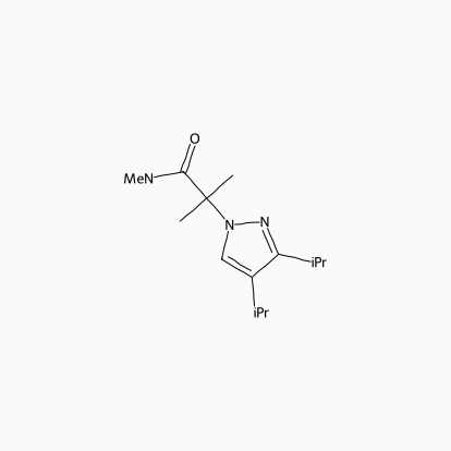 CNC(=O)C(C)(C)n1cc(C(C)C)c(C(C)C)n1